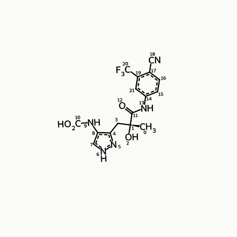 C[C@@](O)(Cc1n[nH]cc1NC(=O)O)C(=O)Nc1ccc(C#N)c(C(F)(F)F)c1